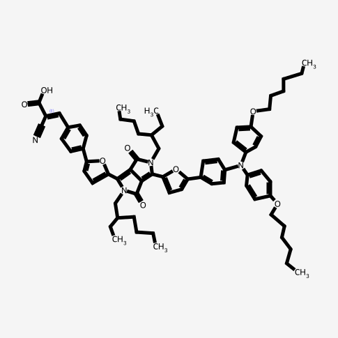 CCCCCCOc1ccc(N(c2ccc(OCCCCCC)cc2)c2ccc(-c3ccc(C4=C5C(=O)N(CC(CC)CCCC)C(c6ccc(-c7ccc(/C=C(\C#N)C(=O)O)cc7)o6)=C5C(=O)N4CC(CC)CCCC)o3)cc2)cc1